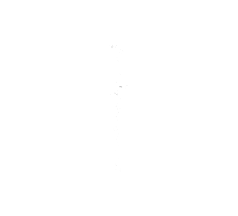 CCCOCCOCCC(=O)NCCOCCOCCCCCCCl